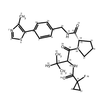 Cc1ncsc1-c1ccc(CNC(=O)[C@@H]2CCCN2C(=O)C(NC(=O)C2(F)CC2)C(C)(C)S)cc1